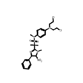 CN1C(C(C)(C)S(=O)(=O)N(C)c2ccc(N(CCCl)CCCl)cc2)=NC(c2ccccc2)C1[N+](=O)[O-]